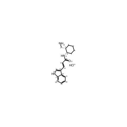 Cl.NC[C@@H]1CCCC[C@@H]1NC(=O)C=Cc1c[nH]c2ncccc12